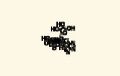 Clc1ncnc2nc[nH]c12.O=P(O)(O)OP(=O)(O)OP(=O)(O)OC[C@H]1OC(O)[C@H](O)[C@@H]1O